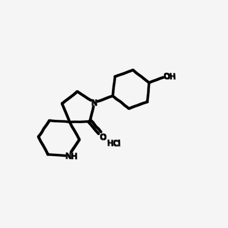 Cl.O=C1N(C2CCC(O)CC2)CCC12CCCNC2